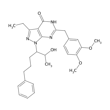 CCc1nn(C(CCCc2ccccc2)C(C)O)c2nc(Cc3ccc(OC)c(OC)c3)[nH]c(=O)c12